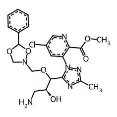 COC(=O)c1ncc(Cl)cc1-n1nc(C)nc1C(OCN1COC(c2ccccc2)O1)[C@@H](O)CN